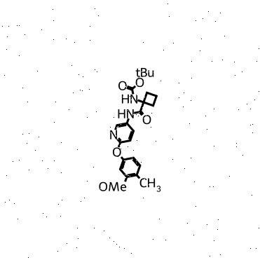 COc1cc(Oc2ccc(NC(=O)C3(NC(=O)OC(C)(C)C)CCC3)cn2)ccc1C